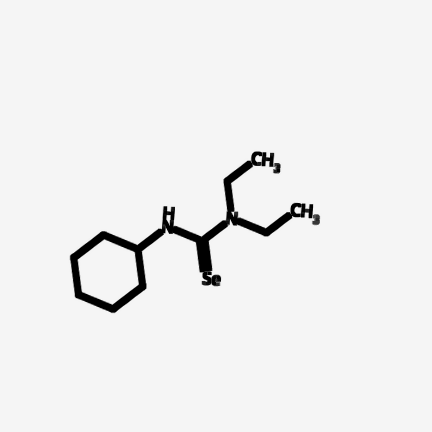 CCN(CC)C(=[Se])NC1CCCCC1